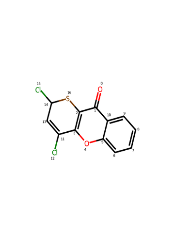 O=c1c2c(oc3ccccc13)C(Cl)=CC(Cl)S2